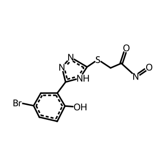 O=NC(=O)CSc1nnc(-c2cc(Br)ccc2O)[nH]1